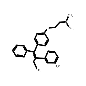 CC/C(=C(\c1ccccc1)c1ccc(OCCN(C)C)cc1)c1ccccc1.O